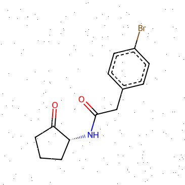 O=C(Cc1ccc(Br)cc1)N[C@@H]1CCCC1=O